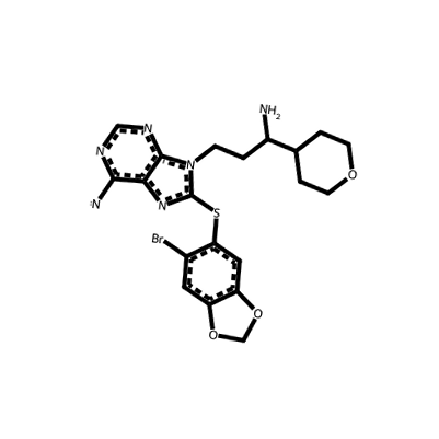 [N]c1ncnc2c1nc(Sc1cc3c(cc1Br)OCO3)n2CCC(N)C1CCOCC1